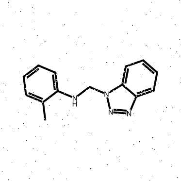 Cc1ccccc1NCn1nnc2ccccc21